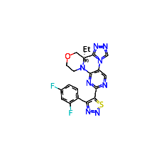 CC[C@@]12COCCN1c1nc(-c3snnc3-c3ccc(F)cc3F)ncc1-n1cnnc12